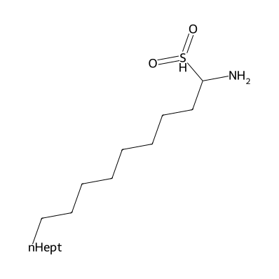 CCCCCCCCCCCCCCCC(N)[SH](=O)=O